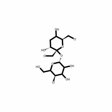 OCC1O[C@H](O[C@@]2(CCl)O[C@H](CCl)C(O)C[C@H]2O)C(O)C(O)[C@H]1Cl